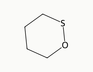 C1CCSOC1